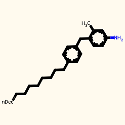 CCCCCCCCCCCCCCCCCCc1ccc(Cc2ccc(N)cc2C)cc1